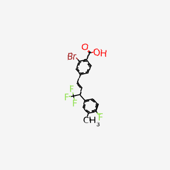 Cc1cc(C(/C=C/c2ccc(C(=O)O)c(Br)c2)C(F)(F)F)ccc1F